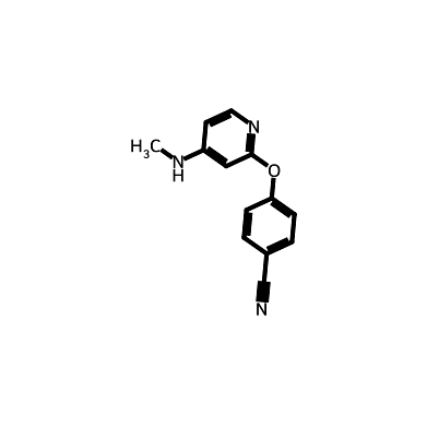 CNc1ccnc(Oc2ccc(C#N)cc2)c1